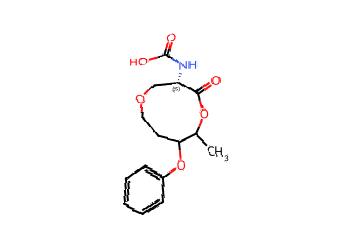 CC1OC(=O)[C@@H](NC(=O)O)COCCC1Oc1ccccc1